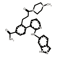 CN1CCN(C(=O)CCc2cc(C(N)=O)ccc2-c2cccnc2Nc2ccc3cn[nH]c3c2)CC1